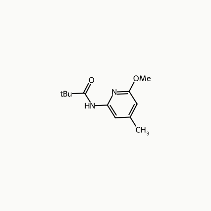 COc1cc(C)cc(NC(=O)C(C)(C)C)n1